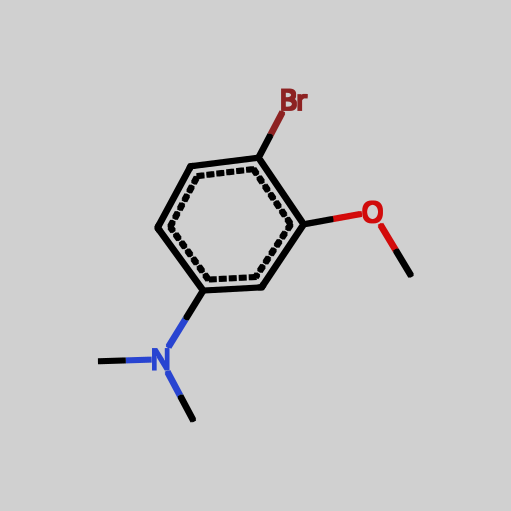 COc1cc(N(C)C)ccc1Br